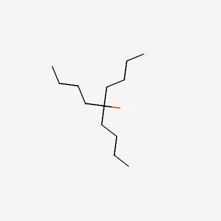 CCCCC(P)(CCCC)CCCC.S